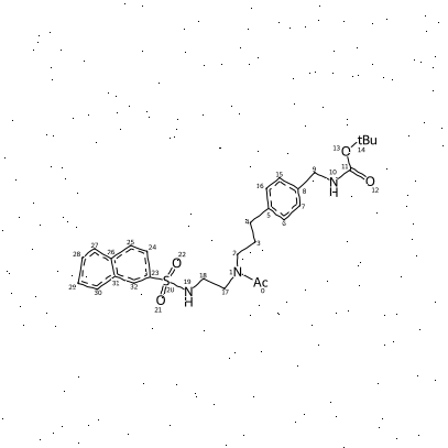 CC(=O)N(CCCc1ccc(CNC(=O)OC(C)(C)C)cc1)CCNS(=O)(=O)c1ccc2ccccc2c1